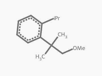 COCC(C)(C)c1ccccc1C(C)C